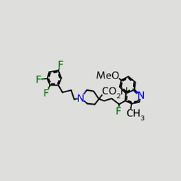 COc1ccc2ncc(C)c(C(F)CCC3(C(=O)O)CCN(CCCc4cc(F)cc(F)c4F)CC3)c2c1